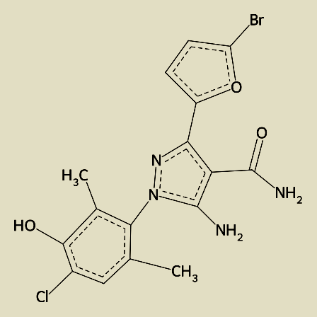 Cc1cc(Cl)c(O)c(C)c1-n1nc(-c2ccc(Br)o2)c(C(N)=O)c1N